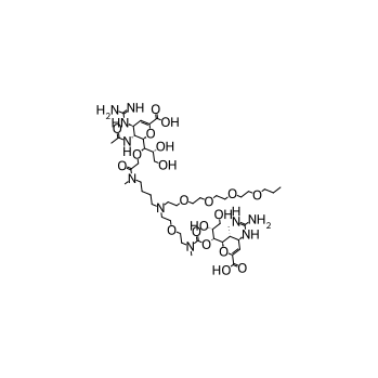 CCCOCCOCCOCCOCCN(CCCCN(C)C(=O)CO[C@@H]([C@@H]1OC(C(=O)O)=C[C@H](NC(=N)N)[C@H]1NC(C)=O)[C@H](O)CO)CCOCCN(C)C(=O)O[C@@H]([C@@H]1OC(C(=O)O)=C[C@H](NC(=N)N)[C@H]1C)[C@H](O)CO